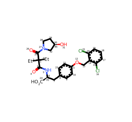 CCC(CC)(C(=O)N[C@@H](Cc1ccc(OCc2c(Cl)cccc2Cl)cc1)C(=O)O)C(=O)N1CC[C@@H](O)C1